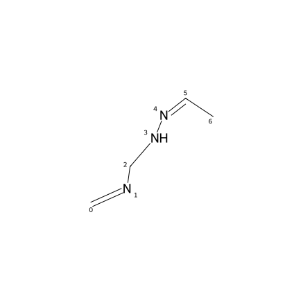 C=NCN/N=C\C